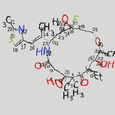 CC[C@H]1C(=O)C(C)(C)[C@@H](O)CC(=O)N[C@H](C(C)=Cc2csc(C)n2)C[C@H]2O[C@@]2(F)CCO[C@@H](C)[C@H]1O